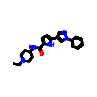 CCN1CCC(NC(=O)c2ccc(-c3cnn(-c4ccccc4)c3)[nH]2)CC1